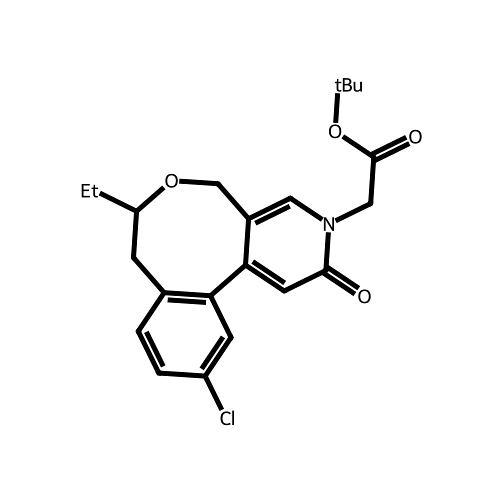 CCC1Cc2ccc(Cl)cc2-c2cc(=O)n(CC(=O)OC(C)(C)C)cc2CO1